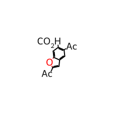 CC(=O)c1cc2cc(C(C)=O)c(C(=O)O)cc2o1